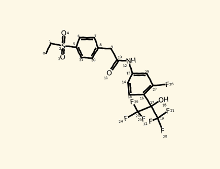 CCS(=O)(=O)c1ccc(CC(=O)Nc2ccc(C(O)(C(F)(F)F)C(F)(F)F)c(F)c2)cc1